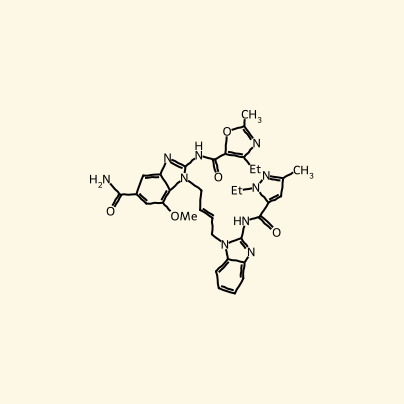 CCc1nc(C)oc1C(=O)Nc1nc2cc(C(N)=O)cc(OC)c2n1CC=CCn1c(NC(=O)c2cc(C)nn2CC)nc2ccccc21